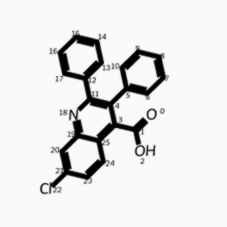 O=C(O)c1c(-c2ccccc2)c(-c2ccccc2)nc2cc(Cl)ccc12